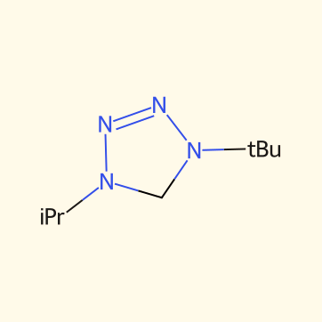 CC(C)N1CN(C(C)(C)C)N=N1